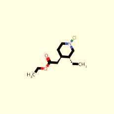 CCOC(=O)C[C@H]1CCN(Cl)C[C@@H]1CC